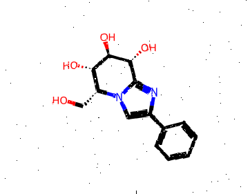 OC[C@@H]1[C@H](O)[C@@H](O)[C@H](O)c2nc(-c3ccccc3)cn21